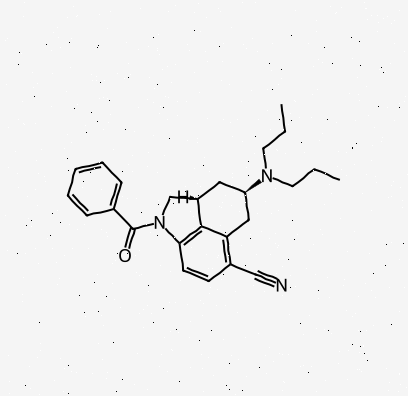 CCCN(CCC)[C@H]1Cc2c(C#N)ccc3c2[C@@H](C1)CN3C(=O)c1ccccc1